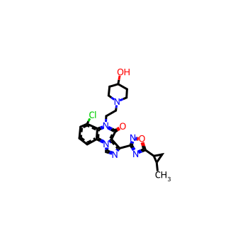 CC1CC1c1nc(-c2ncn3c2c(=O)n(CCN2CCC(O)CC2)c2c(Cl)cccc23)no1